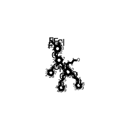 CCCCn1c(-c2ccc(Oc3ccc(Cl)c(C(F)(F)F)c3)cc2OCC2CCCC2)nc2c(OCCN3CCCC3)cc(OCCN3CCCC3)cc21